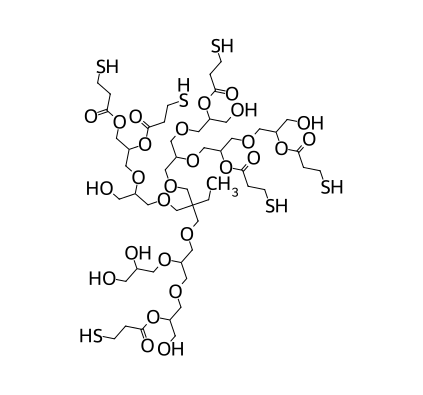 CCC(COCC(CO)OCC(COC(=O)CCS)OC(=O)CCS)(COCC(COCC(CO)OC(=O)CCS)OCC(O)CO)COCC(COCC(CO)OC(=O)CCS)OCC(COCC(CO)OC(=O)CCS)OC(=O)CCS